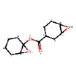 O=C(OC12CCCCC1O2)C1CCC2OC2C1